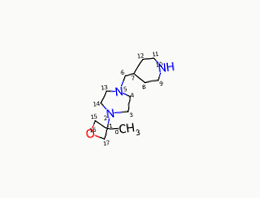 CC1(N2CCN(CC3CCNCC3)CC2)COC1